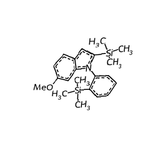 COc1ccc2cc([Si](C)(C)C)n(-c3ccccc3[Si](C)(C)C)c2c1